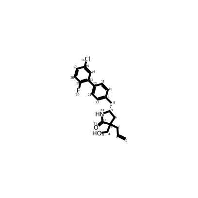 C=CCC1(CO)C[C@@H](Cc2ccc(-c3cc(Cl)ccc3F)cc2)NC1=O